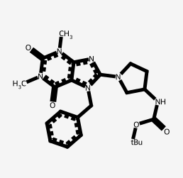 Cn1c(=O)c2c(nc(N3CCC(NC(=O)OC(C)(C)C)C3)n2Cc2ccccc2)n(C)c1=O